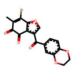 CC1=C(Br)c2occ(C(=O)c3ccc4c(c3)OCCO4)c2C(=O)C1=O